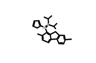 Cc1ccc2c(c1)Cc1c-2ccc(C)[c]1[Zr]([C]1=CC=CC1)=[Si](C(C)C)C(C)C